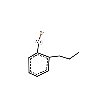 CCCc1cccc[c]1[Mg][Br]